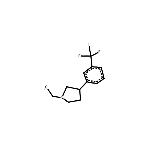 CCN1CCC(c2cccc(C(F)(F)F)c2)C1